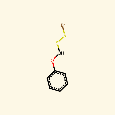 BrSSBOc1ccccc1